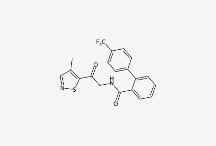 Cc1cnsc1C(=O)CNC(=O)c1ccccc1-c1ccc(C(F)(F)F)cc1